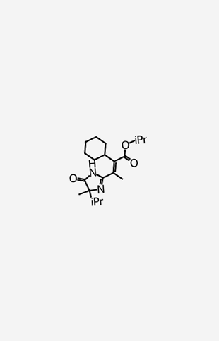 CC(C1=NC(C)(C(C)C)C(=O)N1)=C(C(=O)OC(C)C)C1CCCCC1